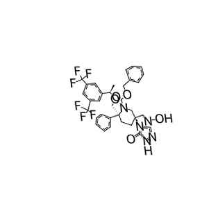 C[C@@H](OC[C@@]1(c2ccccc2)CC[C@](/C=N/O)(n2cn[nH]c2=O)CN1C(=O)OCc1ccccc1)c1cc(C(F)(F)F)cc(C(F)(F)F)c1